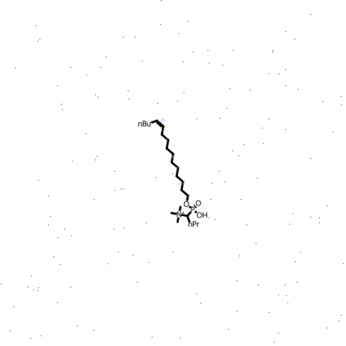 CCCC/C=C\CCCCCCCCCCOP(=O)(O)C(CCC)[N+](C)(C)C